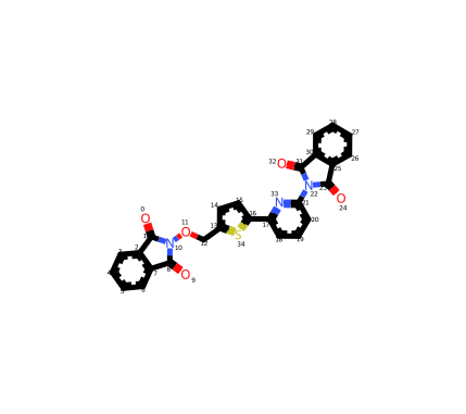 O=C1c2ccccc2C(=O)N1OCc1ccc(-c2cccc(N3C(=O)c4ccccc4C3=O)n2)s1